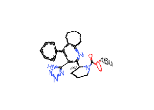 CC(C)(C)OC(=O)N1CCC[C@H]1c1nc2c(c(-c3ccccc3)c1-c1nnn[nH]1)CCCCC2